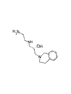 NCCNC[C@H](O)CN1CCc2ccccc2C1